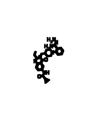 CCc1nc2ccc(NC(=O)C3CC3)cc2c(=O)n1CC1CCN(c2ccccc2/C(N)=N/N)CC1